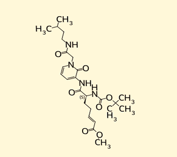 COC(=O)C=CCC[C@H](NC(=O)OC(C)(C)C)C(=O)Nc1cccn(CC(=O)NCCC(C)C)c1=O